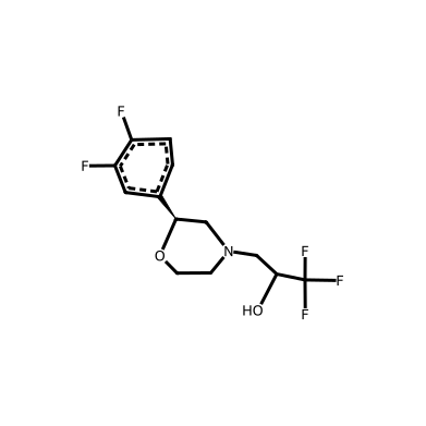 OC(CN1CCO[C@@H](c2ccc(F)c(F)c2)C1)C(F)(F)F